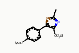 CCOC(=O)c1nc(C)sc1-c1ccc(OC)cc1